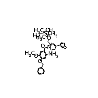 COc1cc(C(=O)N2CCC(c3ccsc3)=C[C@H]2CO[Si](C)(C)C(C)(C)C)c(N)cc1OCc1ccccc1